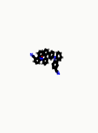 N#Cc1ccc2c(c1)c1c(n2-c2ccc(-c3cccc(C#N)c3-c3ccccc3-n3c4ccccc4c4c(C#N)cccc43)cc2)C=CC=C=C1